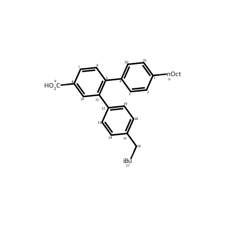 CCCCCCCCc1ccc(-c2ccc(C(=O)O)cc2-c2ccc(CC(C)CC)cc2)cc1